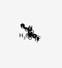 CC1C(=O)N(c2ccc(SC(F)(F)F)cc2)C(=O)N1Cc1ccncc1OCCN1CCCC1